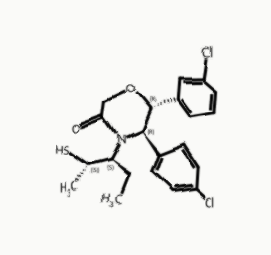 CC[C@@H]([C@H](C)S)N1C(=O)CO[C@H](c2cccc(Cl)c2)[C@H]1c1ccc(Cl)cc1